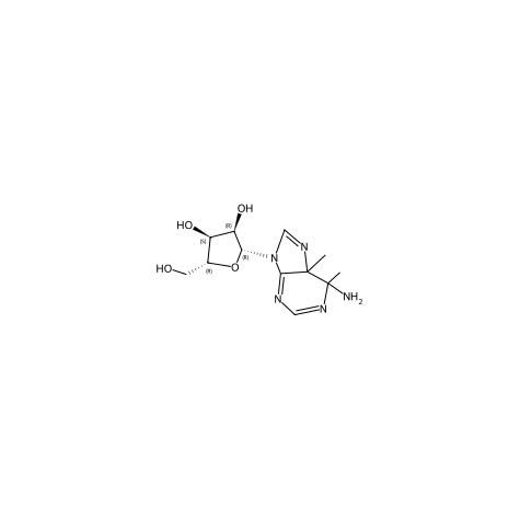 CC1(N)N=CN=C2N([C@@H]3O[C@H](CO)[C@@H](O)[C@H]3O)C=NC21C